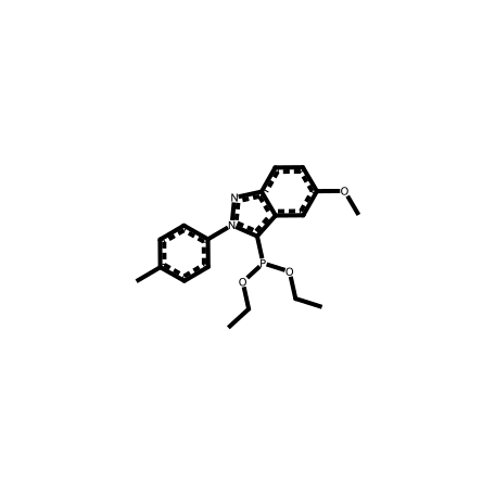 CCOP(OCC)c1c2cc(OC)ccc2nn1-c1ccc(C)cc1